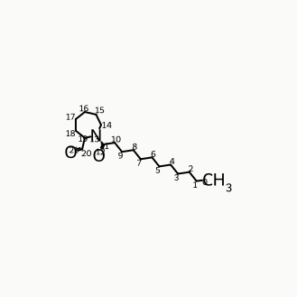 CCCCCCCCCCCC(=O)N1CCCCCC1C=O